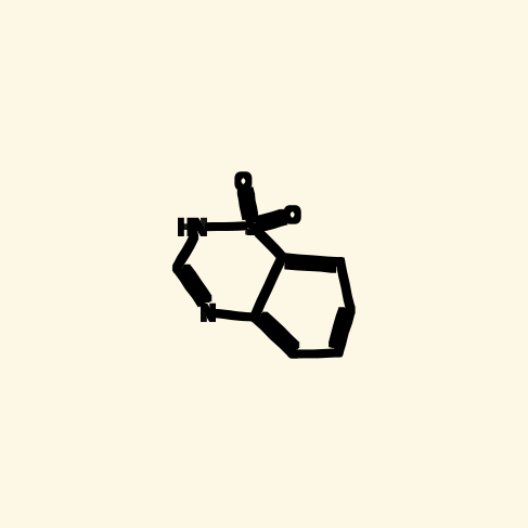 O=S1(=O)NC=Nc2ccccc21